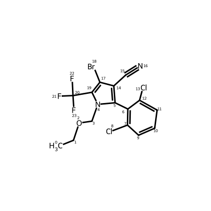 CCOCn1c(-c2c(Cl)cccc2Cl)c(C#N)c(Br)c1C(F)(F)F